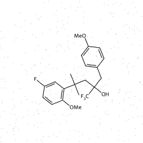 COc1ccc(CC(O)(CC(C)(C)c2cc(F)ccc2OC)C(F)(F)F)cc1